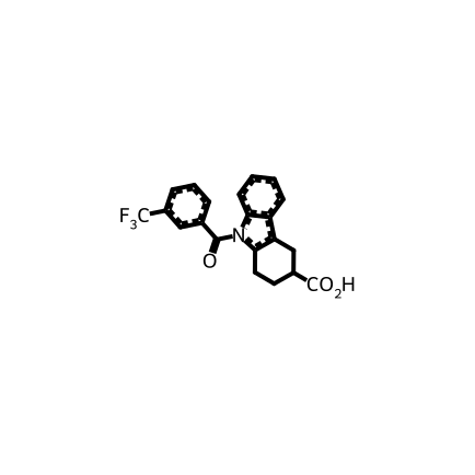 O=C(O)C1CCc2c(c3ccccc3n2C(=O)c2cccc(C(F)(F)F)c2)C1